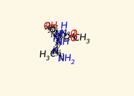 COC(=O)c1ccc2c(c1)[nH]c1nc(Cc3cccc(CO)c3)nc(NCCCN(C)CCCN)c12